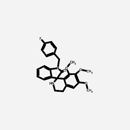 COc1cc2c(c(OC)c1OC)C1(NCC2)C(=O)N(Cc2ccc(F)cc2)c2ccccc21